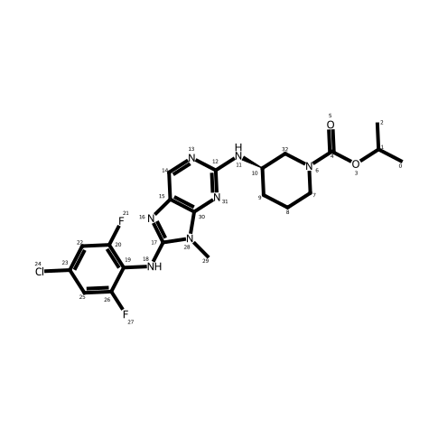 CC(C)OC(=O)N1CCC[C@@H](Nc2ncc3nc(Nc4c(F)cc(Cl)cc4F)n(C)c3n2)C1